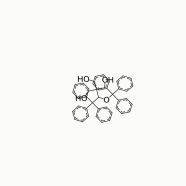 OCC(CO)(CO)C(OC(c1ccccc1)(c1ccccc1)c1ccccc1)C(c1ccccc1)(c1ccccc1)c1ccccc1